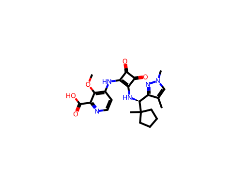 COc1c(Nc2c(N[C@@H](c3nn(C)cc3C)C3(C)CCCC3)c(=O)c2=O)ccnc1C(=O)O